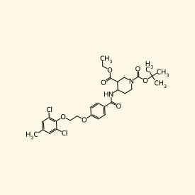 CCOC(=O)C1CN(C(=O)OC(C)(C)C)CCC1NC(=O)c1ccc(OCCOc2c(Cl)cc(C)cc2Cl)cc1